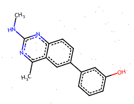 CNc1nc(C)c2cc(-c3cccc(O)c3)ccc2n1